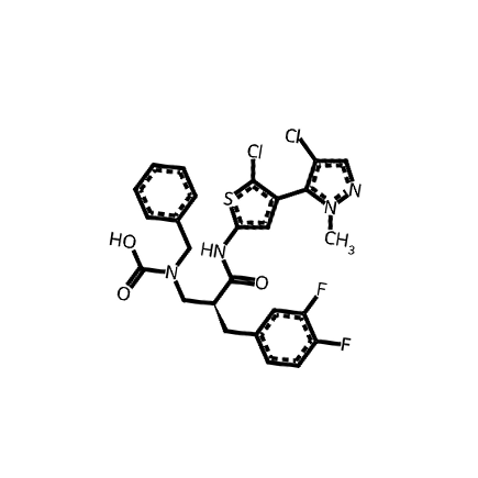 Cn1ncc(Cl)c1-c1cc(NC(=O)[C@@H](Cc2ccc(F)c(F)c2)CN(Cc2ccccc2)C(=O)O)sc1Cl